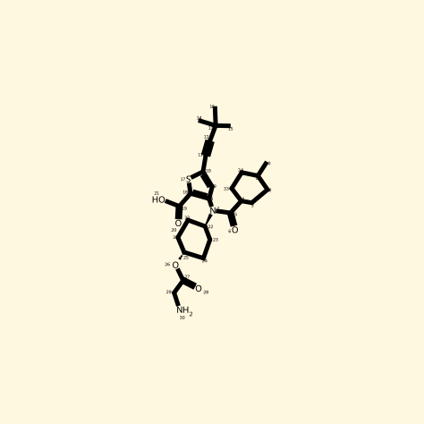 CC1CCC(C(=O)N(c2cc(C#CC(C)(C)C)sc2C(=O)O)[C@H]2CC[C@H](OC(=O)CN)CC2)CC1